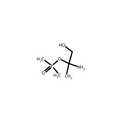 CC(N)(CO)OP(C)(C)=O